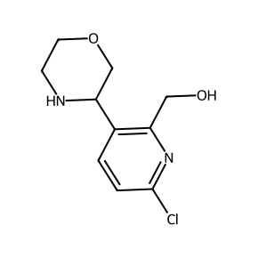 OCc1nc(Cl)ccc1C1COCCN1